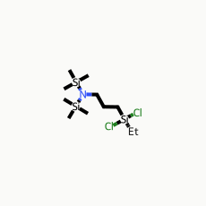 CC[Si](Cl)(Cl)CCCN([Si](C)(C)C)[Si](C)(C)C